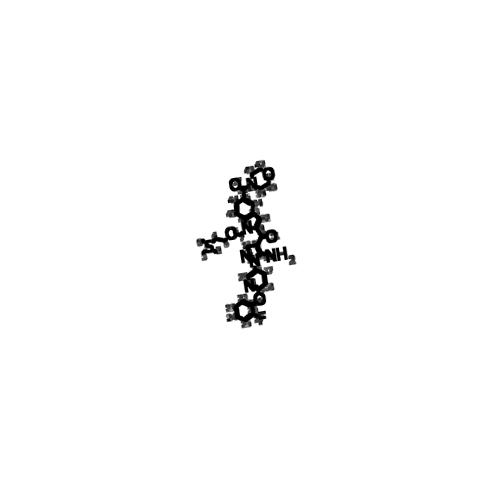 CS(C)(C)CCOCn1c(C(=O)c2cnn(-c3ccc(Oc4ccccc4F)nc3)c2N)cc2cc(C(=O)N3CCOCC3)ccc21